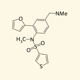 CNCc1ccc(N(C)S(=O)(=O)c2ccsc2)c(-c2ccco2)c1